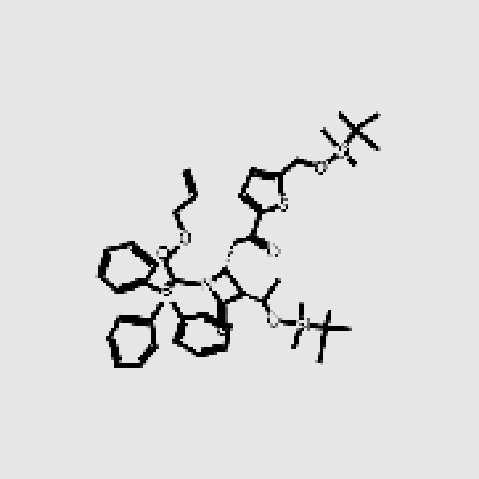 C=CCOC(=O)C(N1C(=O)[C@H](C(C)O[Si](C)(C)C(C)(C)C)[C@H]1CC(=O)c1ccc(CO[Si](C)(C)C(C)(C)C)s1)=P(c1ccccc1)(c1ccccc1)c1ccccc1